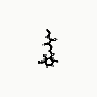 CCOC(=O)C(F)CCOc1c(C)ccc(Br)c1F